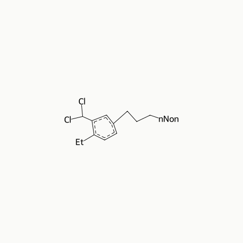 CCCCCCCCCCCCc1ccc(CC)c(C(Cl)Cl)c1